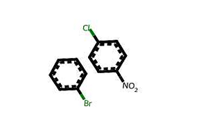 Brc1ccccc1.O=[N+]([O-])c1ccc(Cl)cc1